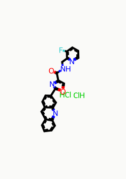 Cl.Cl.O=C(NCc1ncccc1F)c1coc(-c2ccc3cc4ccccc4nc3c2)n1